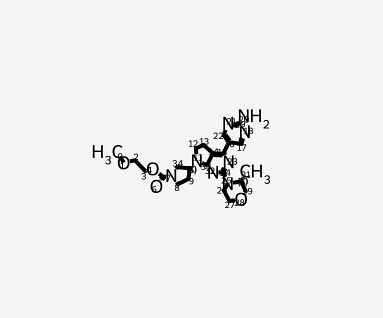 COCCOC(=O)N1CC[C@H](N2CCc3c(-c4cnc(N)nc4)nc(N4CCOC[C@@H]4C)nc32)C1